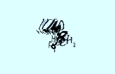 CC(NC(=O)O)C(=O)Nc1cccc(S(C)(=O)=O)c1NCc1cc(F)cc(F)c1